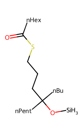 CCCCCCC(=O)SCCCC(CCCC)(CCCCC)O[SiH3]